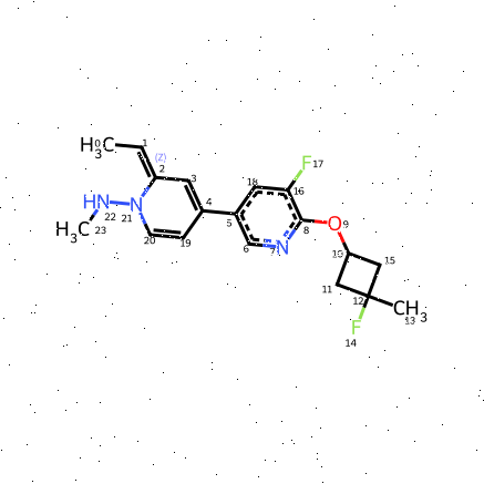 C/C=C1/C=C(c2cnc(OC3CC(C)(F)C3)c(F)c2)C=CN1NC